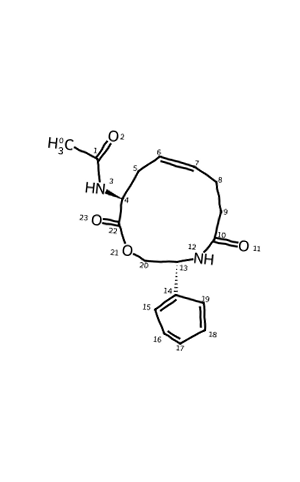 CC(=O)N[C@H]1CC=CCCC(=O)N[C@H](c2ccccc2)COC1=O